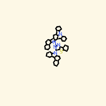 c1ccc2c(c1)ccc1c2c2ccccc2n1-c1nc(-n2c3c4ccccc4ccc3c3cc4c5ccccc5n5c6ccccc6c(c32)c45)nc2c1sc1ccccc12